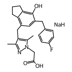 Cc1nn(CC(=O)O)c(C)c1Cc1cc(Cc2ccc(F)cc2)c(O)c2c1CCC2.[NaH]